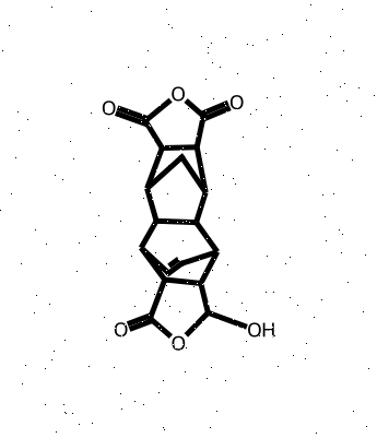 O=C1OC(=O)C2C3CC(C12)C1C2C=CC(C4C(O)OC(=O)C24)C31